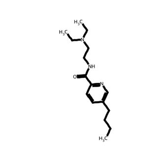 CCCCc1ccc(C(=O)NCCN(CC)CC)nc1